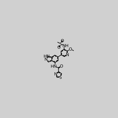 COc1ncc(-c2cc(NC(=O)c3cscn3)c3cn[nH]c3c2)cc1NS(C)(=O)=O